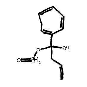 C=CCC(O)(O[PH2]=O)c1ccccc1